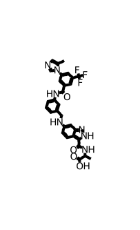 Cc1cncn1-c1cc(C(=O)Nc2cccc(CNc3ccc4c(C(=O)NC(C)C(=O)O)[nH]nc4c3)c2)cc(C(F)(F)F)c1